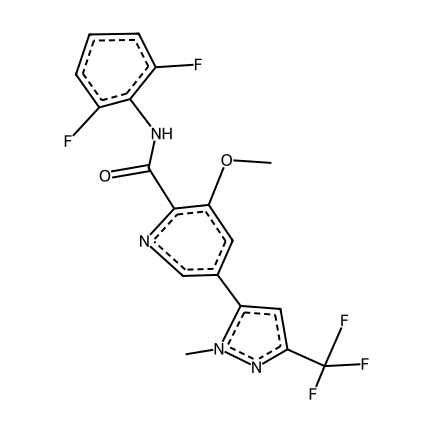 COc1cc(-c2cc(C(F)(F)F)nn2C)cnc1C(=O)Nc1c(F)cccc1F